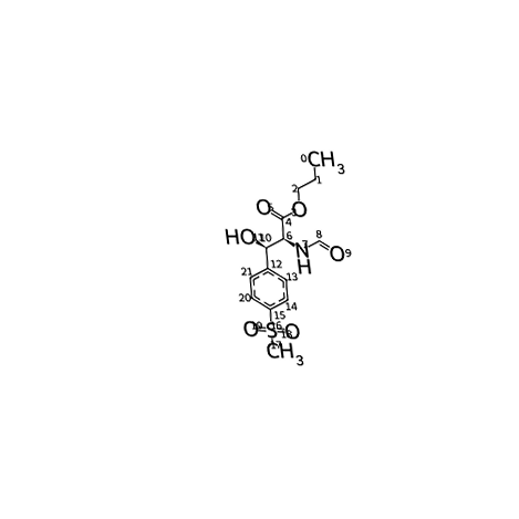 CCCOC(=O)[C@@H](NC=O)[C@H](O)c1ccc(S(C)(=O)=O)cc1